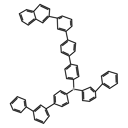 c1ccc(-c2cccc(-c3ccc(N(c4ccc(-c5ccc(-c6cccc(-c7ccc8ccccc8c7)c6)cc5)cc4)c4cccc(-c5ccccc5)c4)cc3)c2)cc1